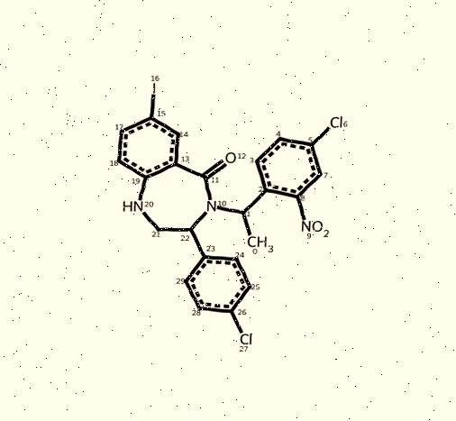 CC(c1ccc(Cl)cc1[N+](=O)[O-])N1C(=O)c2cc(I)ccc2NCC1c1ccc(Cl)cc1